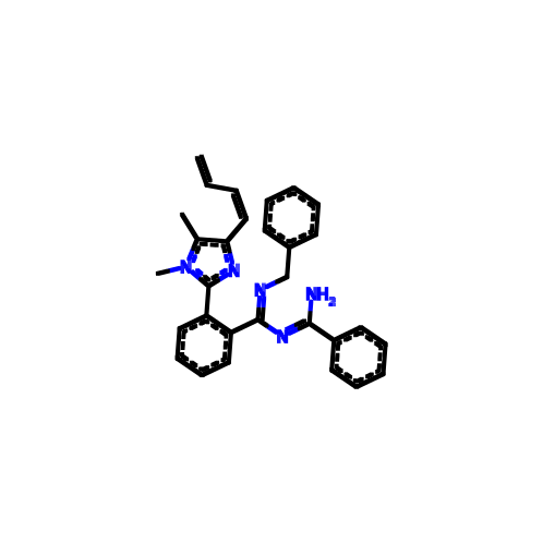 C=C/C=C\c1nc(-c2ccccc2C(/N=C(\N)c2ccccc2)=N/Cc2ccccc2)n(C)c1C